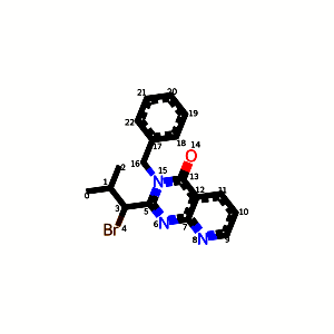 CC(C)C(Br)c1nc2ncccc2c(=O)n1Cc1ccccc1